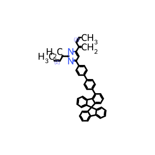 C=C(/C=C\C)c1cc(-c2ccc(-c3ccc(-c4cccc5c4-c4ccccc4C54c5ccccc5-c5ccccc54)cc3)cc2)nc(C(=C)/C=C\C)n1